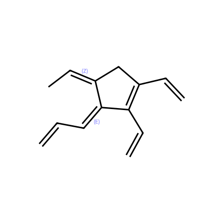 C=C/C=C1/C(C=C)=C(C=C)C/C1=C/C